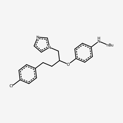 CCCCNc1ccc(OC(CCc2ccc(Cl)cc2)Cn2ccnc2)cc1